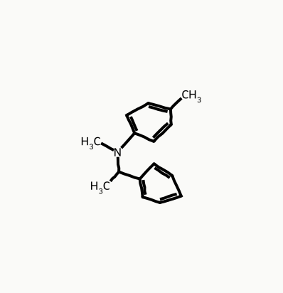 Cc1ccc(N(C)C(C)c2ccccc2)cc1